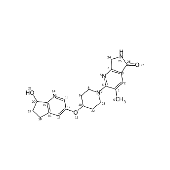 Cc1cc2c(nc1N1CCC(Oc3cnc4c(c3)CCC4O)CC1)CNC2=O